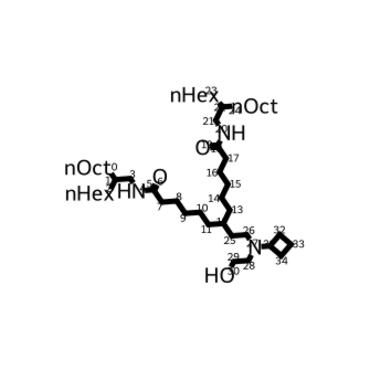 CCCCCCCCC(CCCCCC)CNC(=O)CCCCCC(CCCCCC(=O)NCC(CCCCCC)CCCCCCCC)CCN(CCO)C1CCC1